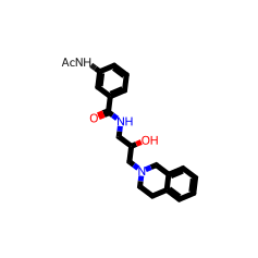 CC(=O)Nc1cccc(C(=O)NCC(O)CN2CCc3ccccc3C2)c1